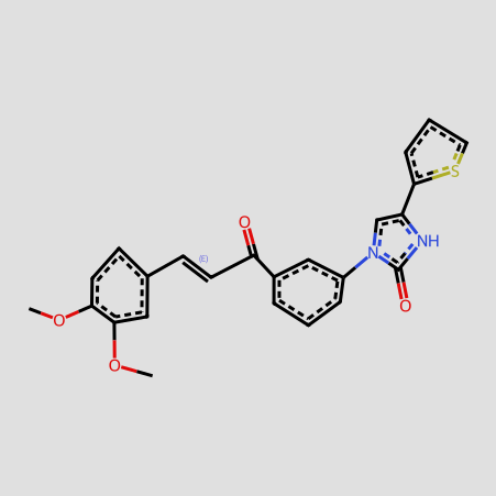 COc1ccc(/C=C/C(=O)c2cccc(-n3cc(-c4cccs4)[nH]c3=O)c2)cc1OC